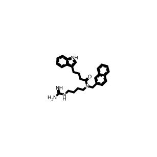 N=C(N)NCCCCN(Cc1ccc2ccccc2c1)C(=O)CCCc1c[nH]c2ccccc12